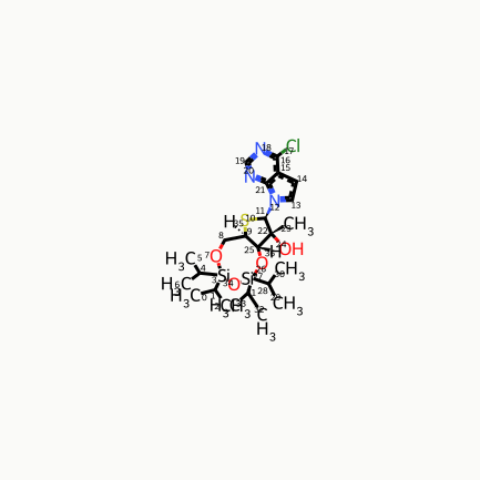 CC(C)[Si]1(C(C)C)OC[C@H]2S[C@@H](n3ccc4c(Cl)ncnc43)[C@](C)(O)[C@@H]2O[Si](C(C)C)(C(C)C)O1